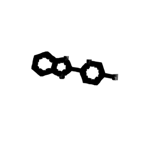 Clc1ccc(-c2nc3ccccc3o2)nc1